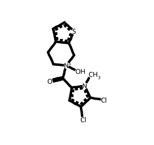 Cn1c(C(=O)[N+]2(O)CCc3ccsc3C2)cc(Cl)c1Cl